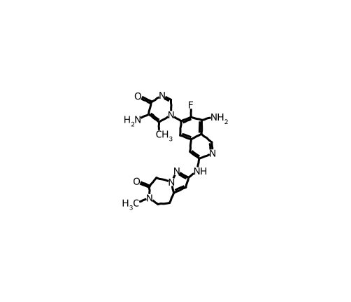 Cc1c(N)c(=O)ncn1-c1cc2cc(Nc3cc4n(n3)CC(=O)N(C)CC4)ncc2c(N)c1F